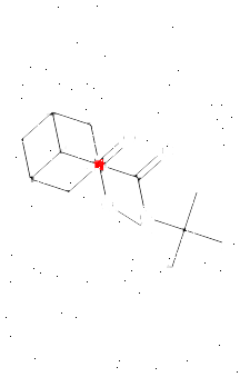 COC(=O)C1C2CC1CN(C(=O)OC(C)(C)C)C2